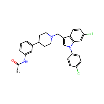 CCC(=O)Nc1cccc(C2CCN(Cc3cn(-c4ccc(Cl)cc4)c4cc(Cl)ccc34)CC2)c1